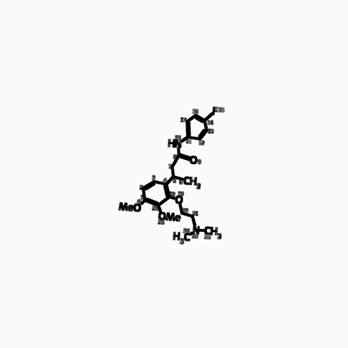 COc1ccc(C(C)CC(=O)Nc2ccc(F)cc2)c(OCCN(C)C)c1OC